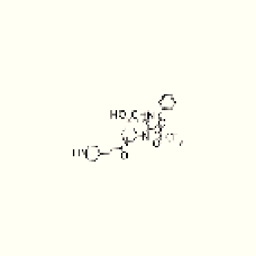 O=C(O)C[C@H](NC(=O)c1ccccc1)C(=NC1CCCN(C(=O)CCC2CCNCC2)C1)OC(=O)C(F)(F)F